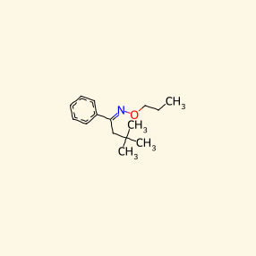 CCCON=C(CC(C)(C)C)c1ccccc1